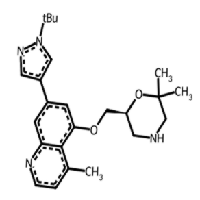 Cc1ccnc2cc(-c3cnn(C(C)(C)C)c3)cc(OC[C@@H]3CNCC(C)(C)O3)c12